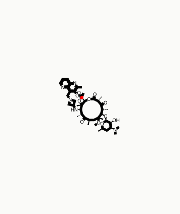 CC[C@H]1OC(=O)[C@H](C)C(=O)[C@H](C)[C@@H](O[C@@H]2O[C@H](C)C[C@H](N(C)C)[C@H]2O)[C@](C)(OC)C[C@@H](C)C(=O)[C@H](C)[C@H](NC2CN(Cc3c(O)c(C)nc4cccnc34)C2)[C@]1(C)OC=O